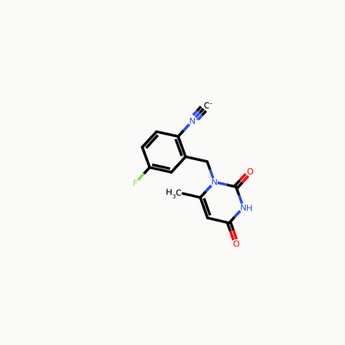 [C-]#[N+]c1ccc(F)cc1Cn1c(C)cc(=O)[nH]c1=O